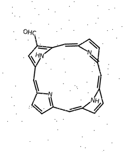 O=Cc1cc2cc3nc(cc4ccc(cc5nc(cc1[nH]2)C=C5)[nH]4)C=C3